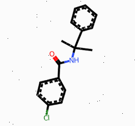 CC(C)(NC(=O)c1ccc(Cl)cc1)c1ccccc1